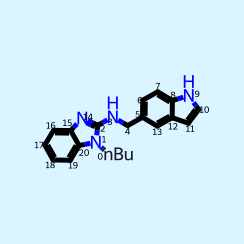 CCCCn1c(NCc2ccc3[nH]ccc3c2)nc2ccccc21